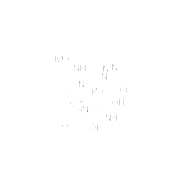 CC(C)(O)c1cnnn1[C@H]1C[C@@H](C(=O)NC2(C(O)C(N)=O)CCOCC2)N(C(=O)C(CC2CCCCC2)NC(=O)O)C1